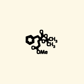 COC(=O)CCC1(Cc2ccccc2)OC(C)(C)OC1=O